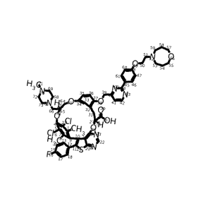 Cc1c(Cl)c2c(Cl)c(C)c1-c1c(-c3ccc(F)cc3)sc3ncnc(c13)O[C@@H](C(=O)O)Cc1cc(ccc1OCc1ccnc(-c3ccc(OCCN4CCCOCCC4)cc3)n1)OC[C@@H](CN1CCN(C)CC1)O2